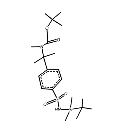 CN(C(=O)OC(C)(C)C)C(C)(C)c1ccc(S(=O)(=O)N[Si](C)(C)C(C)(C)C)cc1